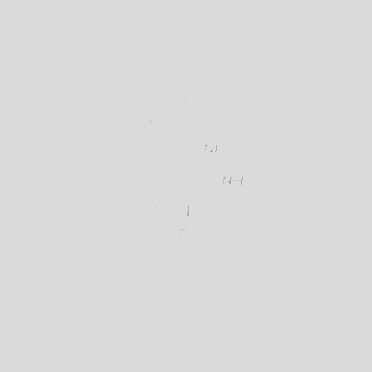 Cc1oc2ccc(OCc3ccccc3F)c(C3CCNCC3(F)F)c2c1C(N)=O